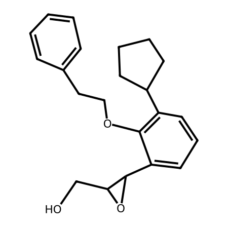 OCC1OC1c1cccc(C2CCCC2)c1OCCc1ccccc1